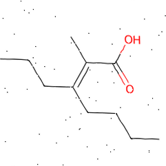 CCCCC(CCC)=C(C)C(=O)O